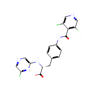 O=C(Nc1ccc(C[C@H](Nc2cncc(Cl)n2)C(=O)O)cc1)c1c(Cl)cncc1Cl